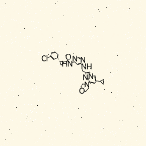 O=C(Nc1cc(NCc2cn3cc(C4CC4)cc(N4CCOCC4)c3n2)ncn1)[C@H]1C[C@@H]1c1cccc(Cl)c1